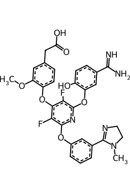 COc1cc(CC(=O)O)ccc1Oc1c(F)c(Oc2cccc(C3=NCCN3C)c2)nc(Oc2cc(C(=N)N)ccc2O)c1F